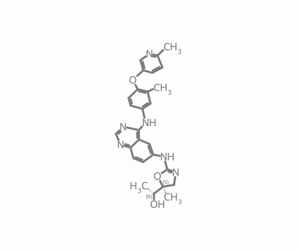 Cc1ccc(Oc2ccc(Nc3ncnc4ccc(NC5=NC[C@@](C)([C@@H](C)O)O5)cc34)cc2C)cn1